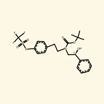 CC(C)(C)OC(=O)N(CCc1ccc(OS(=O)(=O)C(F)(F)F)cc1)C[C@@H](O)c1ccccc1